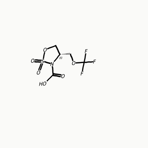 O=C(O)N1[C@@H](COC(F)(F)F)COS1(=O)=O